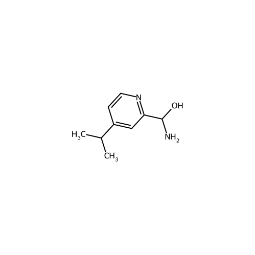 CC(C)c1ccnc(C(N)O)c1